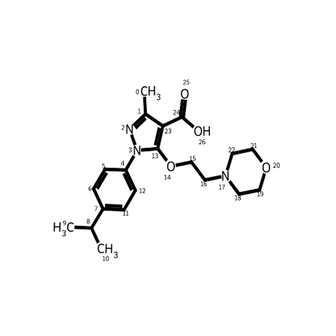 Cc1nn(-c2ccc(C(C)C)cc2)c(OCCN2CCOCC2)c1C(=O)O